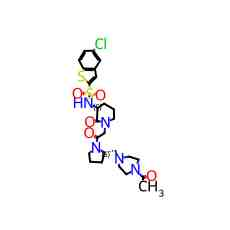 CC(=O)N1CCN(C[C@@H]2CCCN2C(=O)CN2CCC[C@H](NS(=O)(=O)c3cc4cc(Cl)ccc4s3)C2=O)CC1